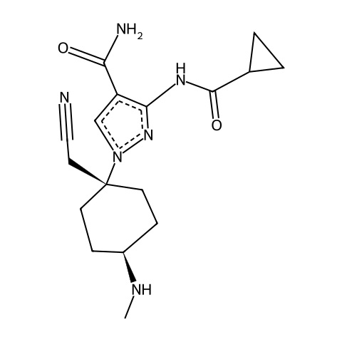 CN[C@H]1CC[C@](CC#N)(n2cc(C(N)=O)c(NC(=O)C3CC3)n2)CC1